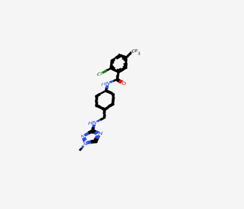 Cn1cnc(NCC2CCC(NC(=O)c3cc(C(F)(F)F)ccc3Cl)CC2)n1